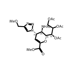 COCc1cn([C@H]2C=C(C(=O)OC)O[C@@H]([C@H](OC(C)=O)C(COC(C)=O)OC(C)=O)[C@@H]2NC(C)=O)nn1